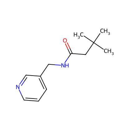 CC(C)(C)CC(=O)NCc1cccnc1